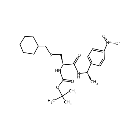 C[C@@H](NC(=O)[C@H](CSCC1CCCCC1)NC(=O)OC(C)(C)C)c1ccc([N+](=O)[O-])cc1